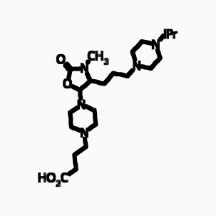 CC(C)N1CCN(CCCC2C(N3CCN(CCCC(=O)O)CC3)OC(=O)N2C)CC1